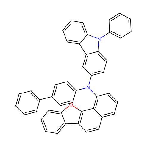 c1ccc(-c2ccc(N(c3ccc4c(c3)c3ccccc3n4-c3ccccc3)c3cccc4ccc5c6ccccc6oc5c34)cc2)cc1